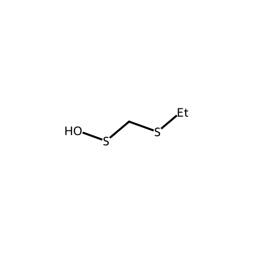 CCSCSO